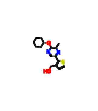 Cc1nc(-c2sccc2CO)cnc1OC1CCCCC1